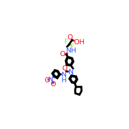 O=C(NCC(F)(F)C(=O)O)c1ccc(CN(C(=O)Nc2cccc([N+](=O)[O-])c2)c2ccc(C3CCCCC3)cc2)cc1